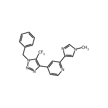 Cn1cnc(-c2cc(-c3nnn(Cc4ccccc4)c3C(F)(F)F)ccn2)c1